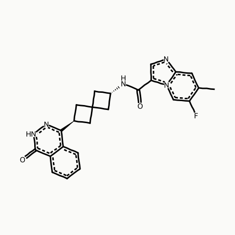 Cc1cc2ncc(C(=O)N[C@H]3CC4(C3)C[C@H](c3n[nH]c(=O)c5ccccc53)C4)n2cc1F